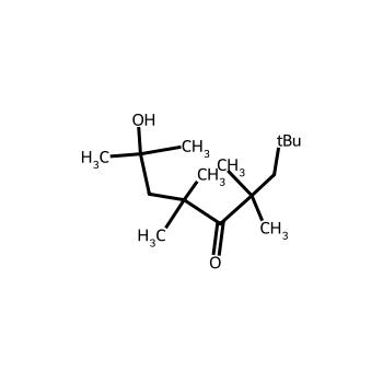 CC(C)(C)CC(C)(C)C(=O)C(C)(C)CC(C)(C)O